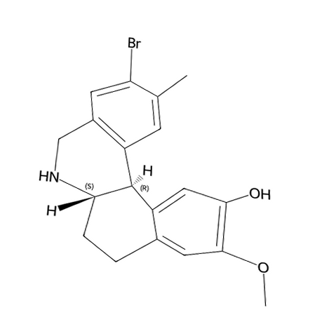 COc1cc2c(cc1O)[C@@H]1c3cc(C)c(Br)cc3CN[C@H]1CC2